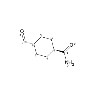 NC(=O)[C@H]1CC[C@H](C=O)CC1